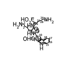 NCCCC[C@H](NC(=O)[C@H](Cc1c[nH]c2ccccc12)NC=O)C(=O)N[C@H](CCCCN)C(=O)O